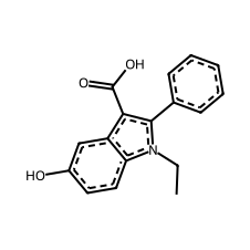 CCn1c(-c2ccccc2)c(C(=O)O)c2cc(O)ccc21